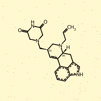 C=CCN1C[C@H](CN2CC(=O)NC(=O)C2)C=C2c3cccc4[nH]cc(c34)C[C@H]21